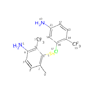 Cc1ccc(N)c(C(F)(F)F)c1S.Nc1ccc(C(F)(F)F)c(Cl)c1